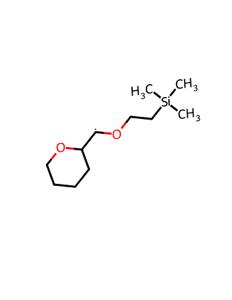 C[Si](C)(C)CCO[CH]C1CCCCO1